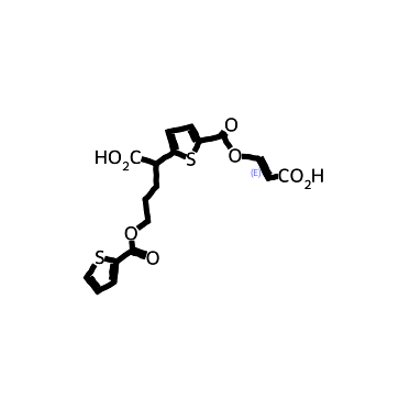 O=C(O)/C=C/OC(=O)c1ccc(C(CCCOC(=O)c2cccs2)C(=O)O)s1